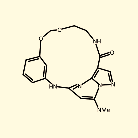 CNc1cc2nc3c(cnn13)C(=O)NCCCCOc1cccc(c1)N2